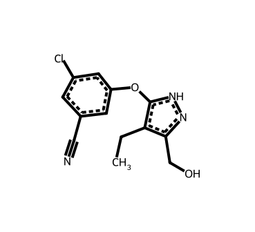 CCc1c(CO)n[nH]c1Oc1cc(Cl)cc(C#N)c1